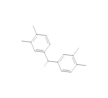 Cc1ccc(C(O)c2ccc(C)c(C)c2)cc1C